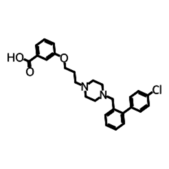 O=C(O)c1cccc(OCCCN2CCN(Cc3ccccc3-c3ccc(Cl)cc3)CC2)c1